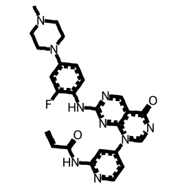 C=CC(=O)Nc1cc(-n2cnc(=O)c3cnc(Nc4ccc(N5CCN(C)CC5)cc4F)nc32)ccn1